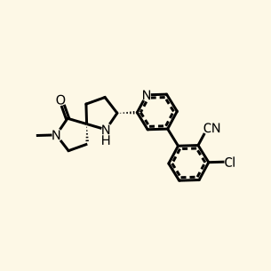 CN1CC[C@@]2(CC[C@H](c3cc(-c4cccc(Cl)c4C#N)ccn3)N2)C1=O